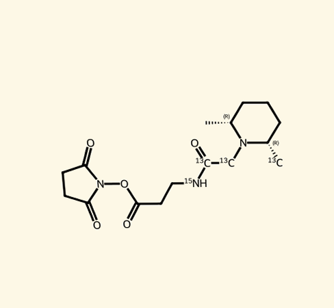 C[C@@H]1CCC[C@H]([13CH3])N1[13CH2][13C](=O)[15NH]CCC(=O)ON1C(=O)CCC1=O